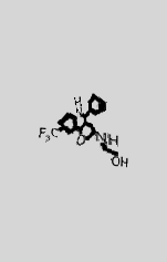 OCCNC1COC2c3cc(C(F)(F)F)ccc3NC(c3ccccc3)C2C1